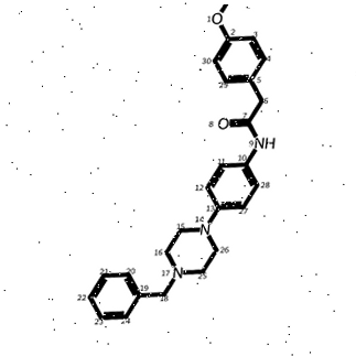 COc1ccc(CC(=O)Nc2ccc(N3CCN(Cc4ccccc4)CC3)cc2)cc1